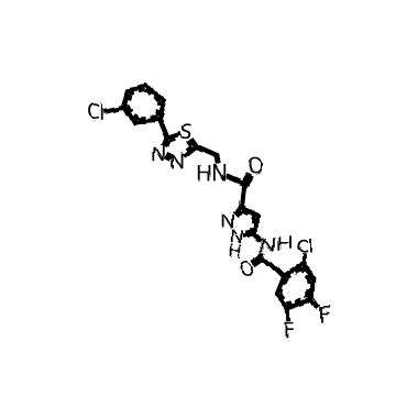 O=C(NCc1nnc(-c2cccc(Cl)c2)s1)c1cc(NC(=O)c2cc(F)c(F)cc2Cl)[nH]n1